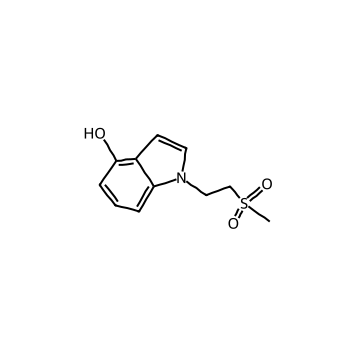 CS(=O)(=O)CCn1ccc2c(O)cccc21